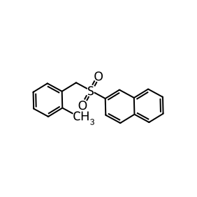 Cc1ccccc1CS(=O)(=O)c1ccc2ccccc2c1